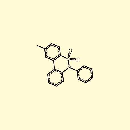 Cc1ccc2c(c1)-c1ccccc1N(c1ccccc1)S2(=O)=O